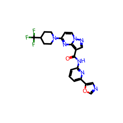 O=C(Nc1cccc(-c2cnco2)n1)c1cnn2ccc(N3CCC(C(F)(F)F)CC3)nc12